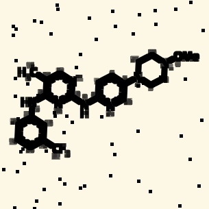 CON1CCN(c2ccc(Nc3ncc(C)c(Nc4cccc(C(F)(F)F)c4)n3)nc2)CC1